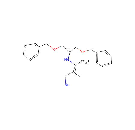 C/C(C=N)=C(/NC(COCc1ccccc1)COCc1ccccc1)C(=O)O